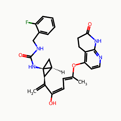 C=C(/C(O)=C\C=C(/C)Oc1ccnc2c1CCC(=O)N2)[C@@H]1[C@@H]2C[C@@]12NC(=O)NCc1ccccc1F